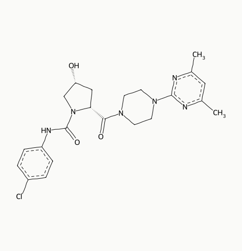 Cc1cc(C)nc(N2CCN(C(=O)[C@H]3C[C@@H](O)CN3C(=O)Nc3ccc(Cl)cc3)CC2)n1